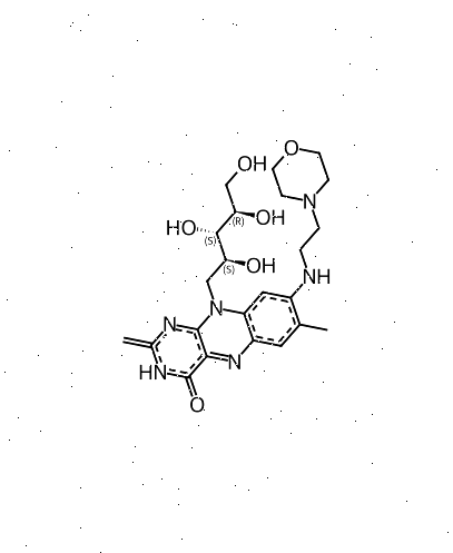 C=c1nc2c(c(=O)[nH]1)=Nc1cc(C)c(NCCN3CCOCC3)cc1N2C[C@H](O)[C@H](O)[C@H](O)CO